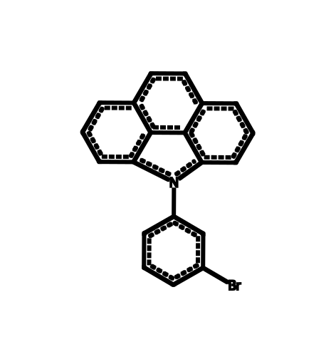 Brc1cccc(-n2c3cccc4ccc5cccc2c5c43)c1